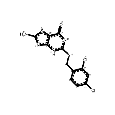 Nc1nc2[nH]c(SCc3ccc(Cl)cc3Cl)nc(=O)c2s1